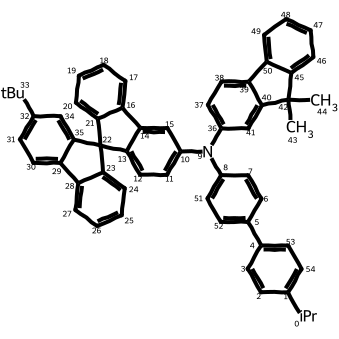 CC(C)c1ccc(-c2ccc(N(c3ccc4c(c3)-c3ccccc3C43c4ccccc4-c4ccc(C(C)(C)C)cc43)c3ccc4c(c3)C(C)(C)c3ccccc3-4)cc2)cc1